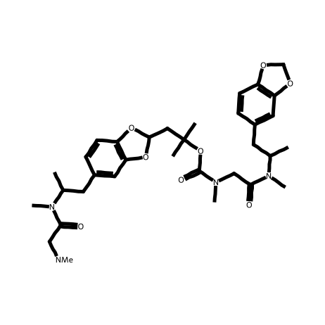 CNCC(=O)N(C)C(C)Cc1ccc2c(c1)OC(CC(C)(C)OC(=O)N(C)CC(=O)N(C)C(C)Cc1ccc3c(c1)OCO3)O2